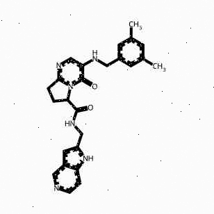 Cc1cc(C)cc(CNc2cnc3n(c2=O)C(C(=O)NCc2cc4cnccc4[nH]2)CC3)c1